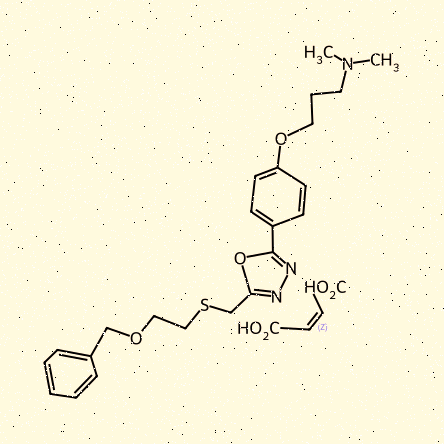 CN(C)CCCOc1ccc(-c2nnc(CSCCOCc3ccccc3)o2)cc1.O=C(O)/C=C\C(=O)O